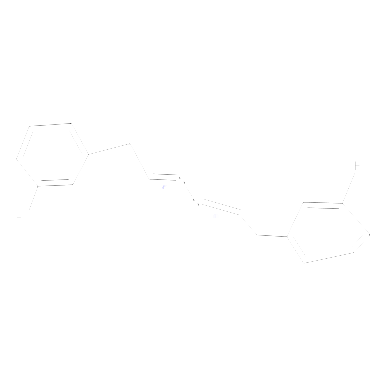 CCc1cccc(C/C=N/N=C/Cc2cccc(CC)c2)c1